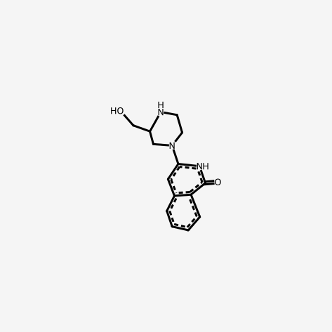 O=c1[nH]c(N2CCNC(CO)C2)cc2ccccc12